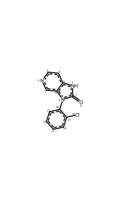 O=c1[nH]c2ccncc2n1-c1ccccc1Cl